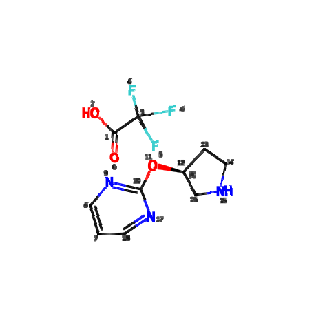 O=C(O)C(F)(F)F.c1cnc(O[C@H]2CCNC2)nc1